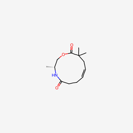 C[C@@H]1COC(=O)C(C)(C)CC=CCCC(=O)N1